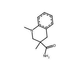 CN1CC(C)(C(N)=O)Cc2ccccc21